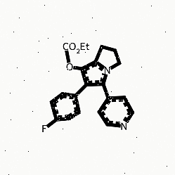 CCOC(=O)Oc1c(-c2ccc(F)cc2)c(-c2ccncc2)n2c1CCC2